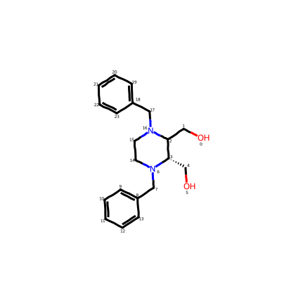 OCC1[C@H](CO)N(Cc2ccccc2)CCN1Cc1ccccc1